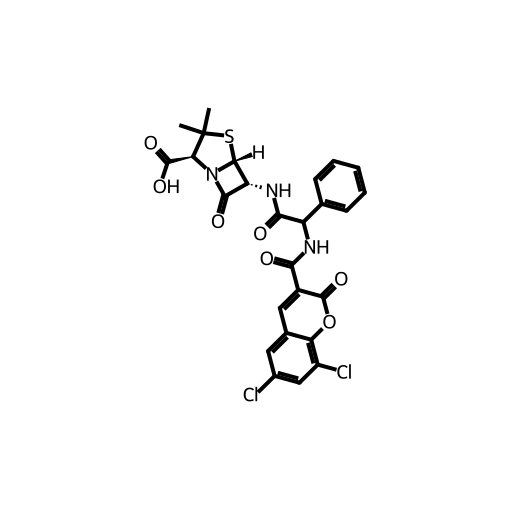 CC1(C)S[C@@H]2[C@H](NC(=O)C(NC(=O)c3cc4cc(Cl)cc(Cl)c4oc3=O)c3ccccc3)C(=O)N2[C@H]1C(=O)O